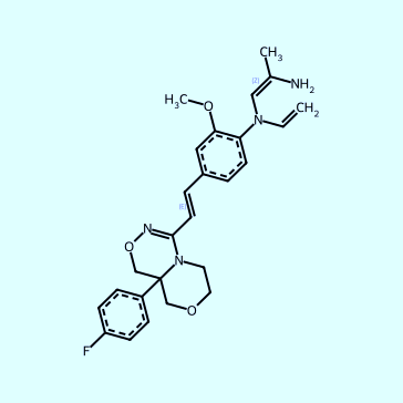 C=CN(/C=C(/C)N)c1ccc(/C=C/C2=NOCC3(c4ccc(F)cc4)COCCN23)cc1OC